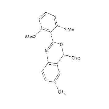 COc1cccc(OC)c1C1=Nc2ccc(C)cc2C(C=O)O1